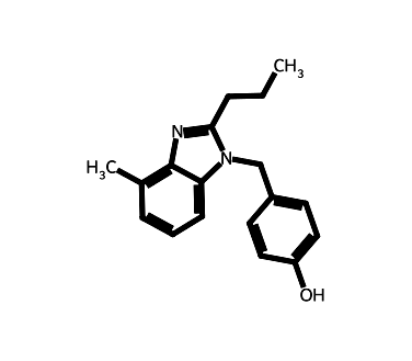 CCCc1nc2c(C)cccc2n1Cc1ccc(O)cc1